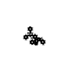 c1ccc(-c2cc(-c3cccc4c3Sc3ccccc3C43c4ccccc4-c4c3ccc3sc5ccccc5c43)nc(-c3ccccc3)n2)cc1